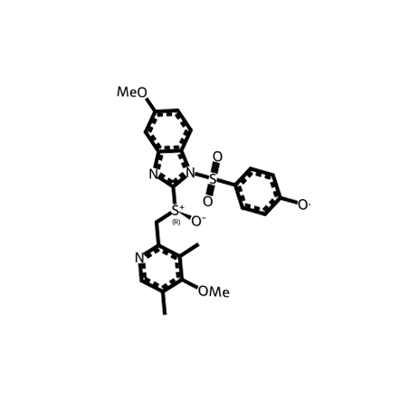 COc1ccc2c(c1)nc([S@@+]([O-])Cc1ncc(C)c(OC)c1C)n2S(=O)(=O)c1ccc([O])cc1